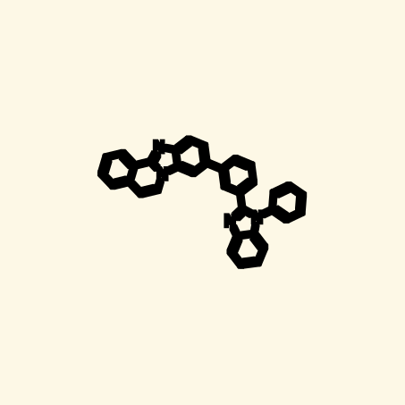 c1ccc(-n2c(-c3cccc(-c4ccc5nc6c7ccccc7ccn6c5c4)c3)nc3ccccc32)cc1